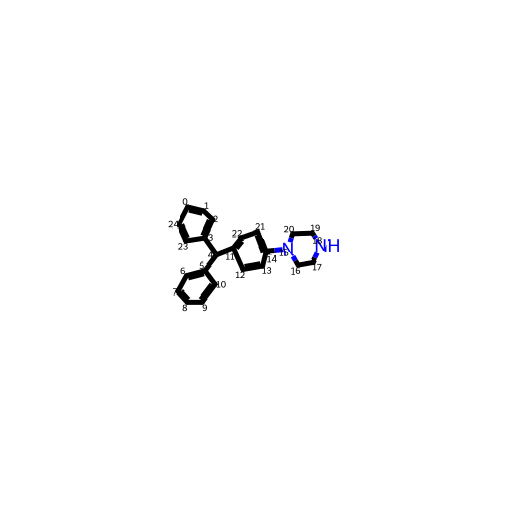 c1ccc(C(c2ccccc2)c2ccc(N3CCNCC3)cc2)cc1